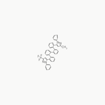 Cc1cc(-c2ccccc2-c2ccccc2-c2ccccc2-c2ccccc2-c2cc(C(F)(F)F)nn2-c2ccccc2)n(-c2ccccc2)n1